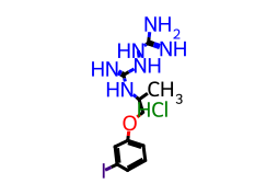 CC(COc1cccc(I)c1)NC(=N)NNC(=N)N.Cl